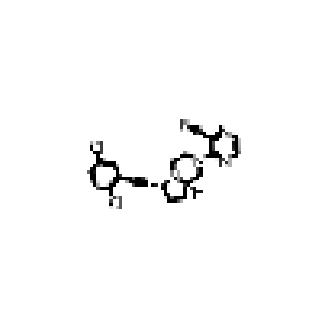 N#Cc1nccnc1N1CCN2[C@@H](CC[C@@H]2C#Cc2cc(Cl)ccc2Cl)C1